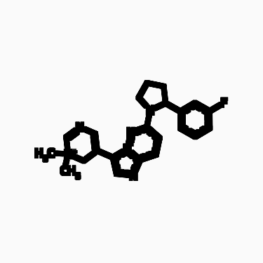 C[N+]1(C)C=NC=C(c2cnc3ccc(N4CCCC4c4cccc(F)c4)nn23)C1